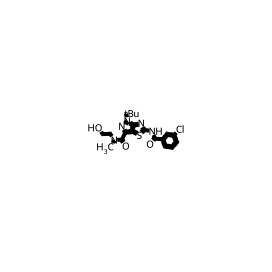 CN(CCO)C(=O)c1nn(C(C)(C)C)c2nc(NC(=O)c3cccc(Cl)c3)sc12